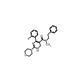 CN(CCc1ccccc1)C(=O)C1=C(c2ccccc2F)N=C(N2CCOCC2)NC1